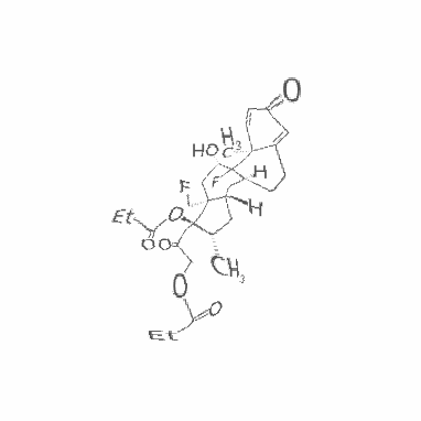 CCC(=O)OCC(=O)[C@@]1(OC(=O)CC)[C@@H](C)C[C@H]2[C@@H]3CCC4=CC(=O)C=C[C@]4(C)C3(F)[C@@H](O)C[C@@]21CF